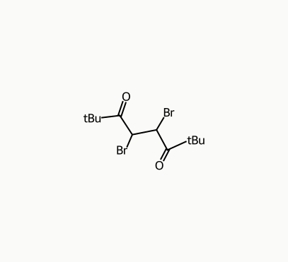 CC(C)(C)C(=O)C(Br)C(Br)C(=O)C(C)(C)C